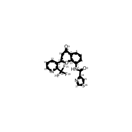 O=C(Nc1cccc2c(=O)cc(-c3cccnc3C(F)(F)F)oc12)c1cscn1